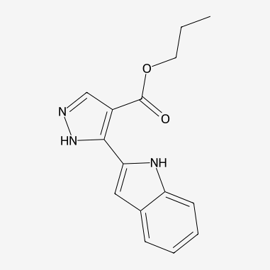 CCCOC(=O)c1cn[nH]c1-c1cc2ccccc2[nH]1